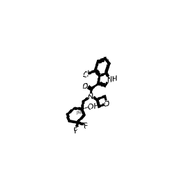 O=C(c1c[nH]c2cccc(Cl)c12)N(C[C@]1(O)CCCC(F)(F)C1)C1COC1